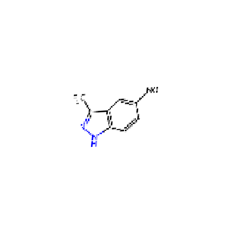 O=Nc1ccc2[nH]nc(C(F)(F)F)c2c1